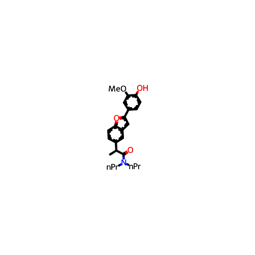 CCCN(CCC)C(=O)C(C)c1ccc2oc(-c3ccc(O)c(OC)c3)cc2c1